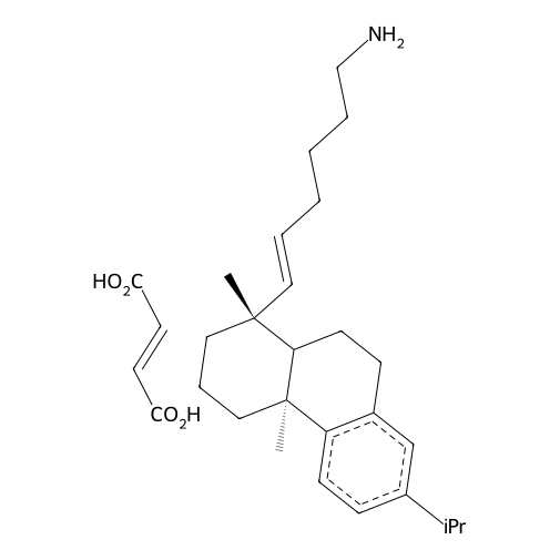 CC(C)c1ccc2c(c1)CCC1[C@@](C)(C=CCCCCN)CCC[C@]21C.O=C(O)/C=C/C(=O)O